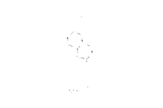 CO[C@H]1CC[C@H](c2ccc3cc(CO)ccc3n2)C1